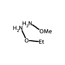 CCON.CON